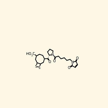 O=C(O)C1CCC(C(=O)[C@@H]2CCCN2C(=O)CCCCCN2C(=O)C=CC2=O)CC2SSC2C1